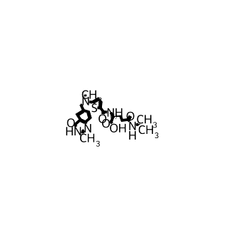 Cc1nc2ccc(CN(C)c3ccc(C(=O)N[C@@H](CCC(=O)NC(C)C)C(=O)O)s3)cc2c(=O)[nH]1